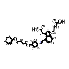 Cc1c(F)cccc1OCCCCOc1ccc(/C=C/c2cccc3c2c(CC(=O)O)cn3CCCC(=O)O)cc1